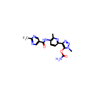 Cc1nc(-c2nnn(C)c2OC(N)=O)ccc1NC(=O)c1cnc(C(F)(F)F)nc1